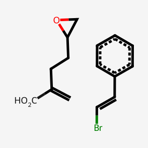 BrC=Cc1ccccc1.C=C(CCC1CO1)C(=O)O